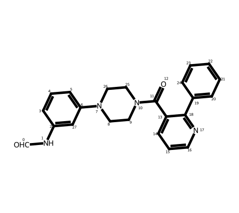 O=CNc1cccc(N2CCN(C(=O)c3cccnc3-c3ccccc3)CC2)c1